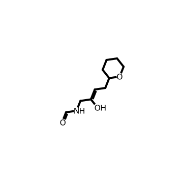 O=CNC/C(O)=C/CC1CCCCO1